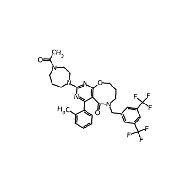 CC(=O)N1CCCN(c2nc3c(c(-c4ccccc4C)n2)C(=O)N(Cc2cc(C(F)(F)F)cc(C(F)(F)F)c2)CCCO3)CC1